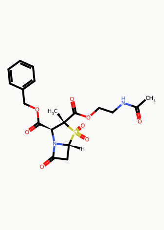 CC(=O)NCCOC(=O)[C@@]1(C)[C@H](C(=O)OCc2ccccc2)N2C(=O)C[C@H]2S1(=O)=O